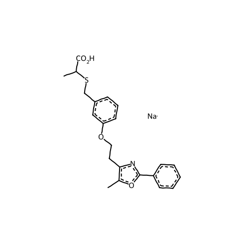 Cc1oc(-c2ccccc2)nc1CCOc1cccc(CSC(C)C(=O)O)c1.[Na]